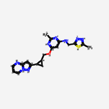 Cc1nc(NCc2nnc(C)s2)cc(OCC2CC2c2cc3ncccn3n2)n1